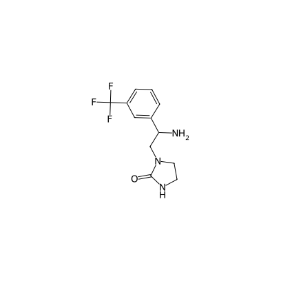 NC(CN1CCNC1=O)c1cccc(C(F)(F)F)c1